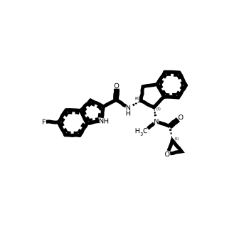 CN(C(=O)[C@@H]1CO1)[C@H]1c2ccccc2C[C@H]1NC(=O)c1cc2cc(F)ccc2[nH]1